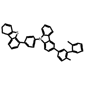 Cc1ccccc1-c1cc(-c2ccc3c(c2)c2ccccc2n3-c2ccc(-c3cccc4c5c(sc34)C=CCC5)cc2)ccc1C